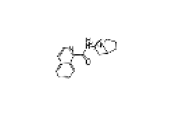 CN1C2CCC1CC(NC(=O)c1nccc3ccccc13)C2